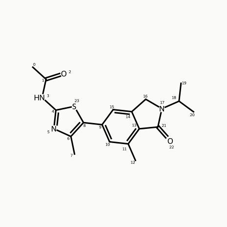 CC(=O)Nc1nc(C)c(-c2cc(C)c3c(c2)CN(C(C)C)C3=O)s1